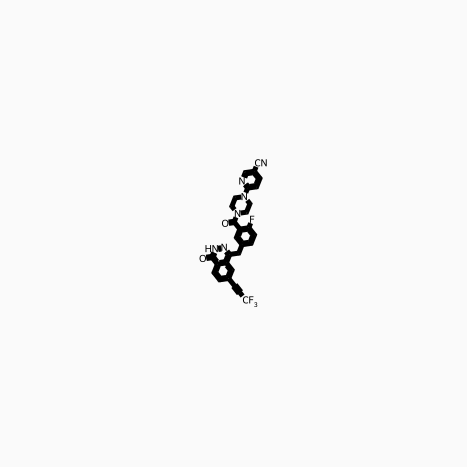 N#Cc1ccc(N2CCN(C(=O)c3cc(Cc4n[nH]c(=O)c5ccc(C#CC(F)(F)F)cc45)ccc3F)CC2)nc1